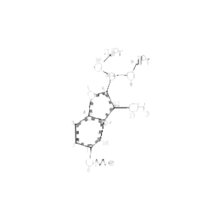 COc1ccc2oc(B(OC(C)C)OC(C)C)c(C)c2c1